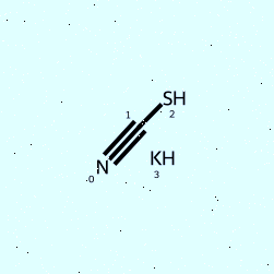 N#CS.[KH]